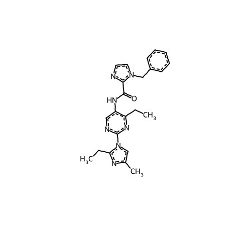 CCc1nc(-n2cc(C)nc2CC)ncc1NC(=O)c1nccn1Cc1ccccc1